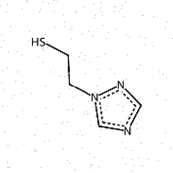 SCCn1cncn1